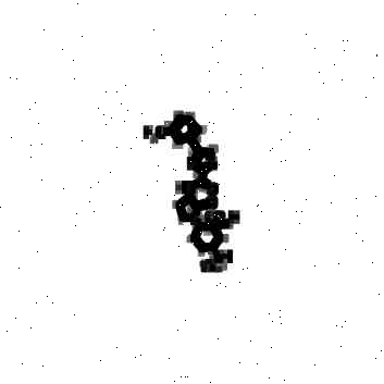 CC(C)(C)N[C@@H]1CC[C@H](N2CCC(NC(=O)c3nc(-c4cccc(C(F)(F)F)c4)cs3)C2=O)[C@](C)(C(=O)O)C1